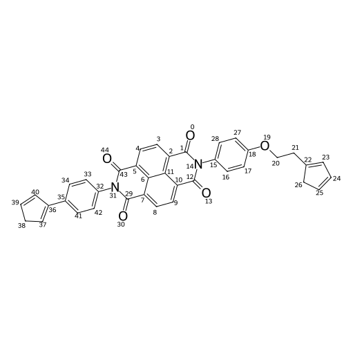 O=C1c2ccc3c4c(ccc(c24)C(=O)N1c1ccc(OCCC2=CC=CC2)cc1)C(=O)N(c1ccc(C2=CCC=C2)cc1)C3=O